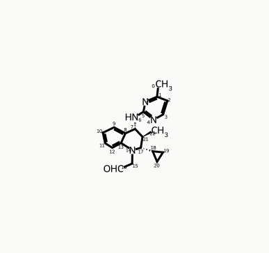 Cc1ccnc(N[C@H]2c3ccccc3N(CC=O)[C@@H](C3CC3)[C@@H]2C)n1